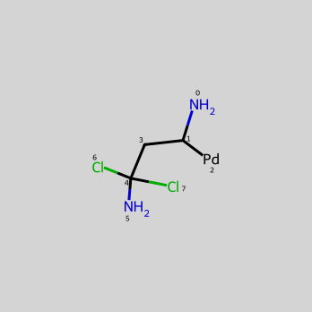 N[CH]([Pd])CC(N)(Cl)Cl